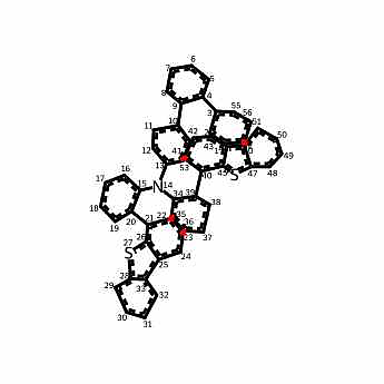 c1ccc(-c2ccccc2-c2ccc(N(c3ccccc3-c3cccc4c3sc3ccccc34)c3ccccc3-c3cccc4c3sc3ccccc34)cc2)cc1